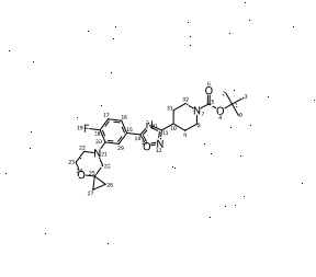 CC(C)(C)OC(=O)N1CCC(c2noc(-c3ccc(F)c(N4CCOC5(CC5)C4)c3)n2)CC1